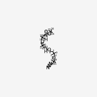 CC(C)(CCOCNCC(C)(C)COCC(C)(C)CNC(=O)OC(C)(C)C)COCC(C)(C)CN=[N+]=[N-]